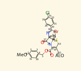 COc1ccc(COC(=O)C2=C(COC(C)=O)CS[C@@H]3[C@H](N=C(Br)c4ccc(Cl)cc4)C(=O)N23)cc1